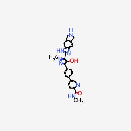 CNC(=O)c1ccc(-c2ccc(-c3nn(C)c(-c4nc5cc6c(cc5[nH]4)CNC6)c3O)cc2)cn1